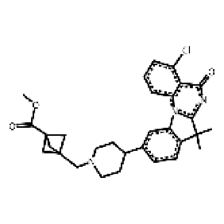 COC(=O)C12CC(CN3CCC(c4ccc5c(c4)-n4c(nc(=O)c6c(Cl)cccc64)C5(C)C)CC3)(C1)C2